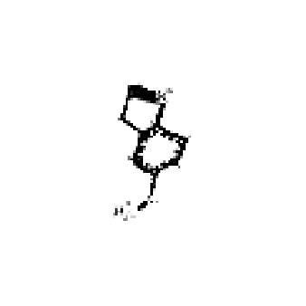 COc1ccc2c(c1)CC=N2